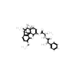 COc1ccc2c3c1OC1C(OC(=O)[C@H](C)NC(=O)[C@@H](O)c4ccccc4)=CC[C@@]4(O)[C@@H](C2)N(C)CCC314